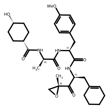 COc1ccc(C[C@H](NC(=O)[C@@H](C)NC(=O)[C@H]2CC[C@@H](O)CC2)C(=O)N[C@@H](CC2=CCCCC2)C(=O)[C@@]2(C)CO2)cc1